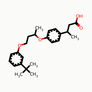 CC(CCOc1cccc(C(C)(C)C)c1)Oc1ccc(C(C)CC(=O)O)cc1